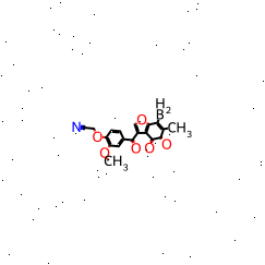 BC1=C(C)C(=O)C(=O)c2c(C(=O)c3ccc(OCC#N)c(OC)c3)coc21